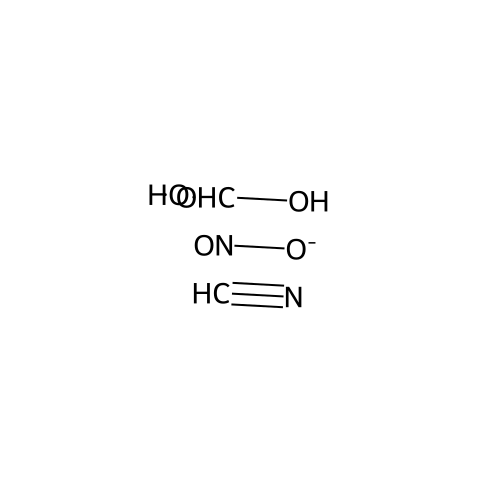 C#N.O=[C]O.O=[NH+][O-].[OH]